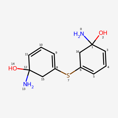 NC1(O)C=CC=C(SC2=CC=CC(N)(O)C2)C1